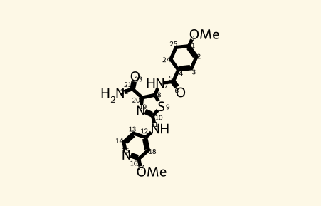 COC1=CC=C(C(=O)NC2SC(Nc3ccnc(OC)c3)=NC2C(N)=O)CC1